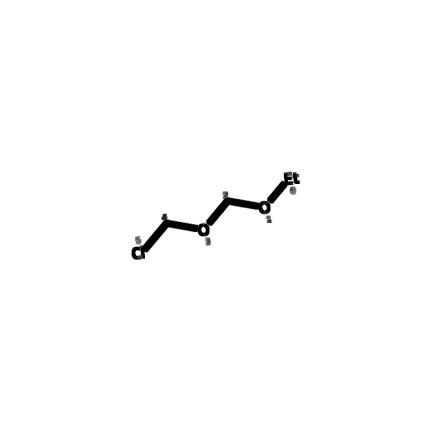 [CH2]COCOCCl